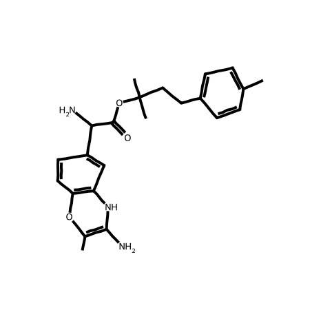 CC1=C(N)Nc2cc(C(N)C(=O)OC(C)(C)CCc3ccc(C)cc3)ccc2O1